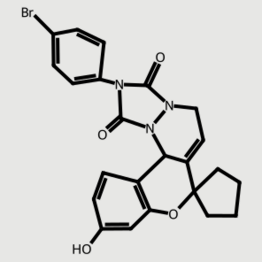 O=c1n(-c2ccc(Br)cc2)c(=O)n2n1CC=C1C2c2ccc(O)cc2OC12CCCC2